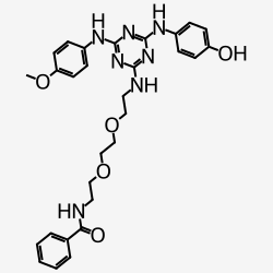 COc1ccc(Nc2nc(NCCOCCOCCNC(=O)c3ccccc3)nc(Nc3ccc(O)cc3)n2)cc1